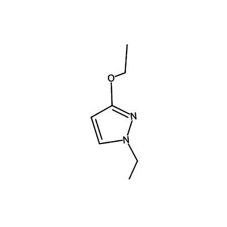 CCOc1ccn(CC)n1